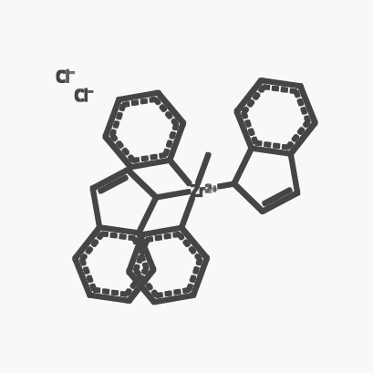 [CH3][Zr+2]([c]1ccccc1)([c]1ccccc1)([CH]1C=Cc2ccccc21)[CH]1C=Cc2ccccc21.[Cl-].[Cl-]